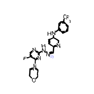 Fc1cnc(N/N=C\C2=NCC(Nc3cccc(C(F)(F)F)c3)C=C2)nc1N1CCOCC1